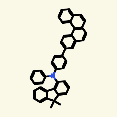 CC1(C)c2ccccc2-c2c(N(c3ccccc3)c3ccc(-c4ccc5c(ccc6ccc7ccccc7c65)c4)cc3)cccc21